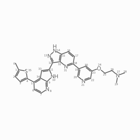 Cc1ccc(-c2ccnc3[nH]c(-c4n[nH]c5ccc(-c6cncc(OCCN(C)C)c6)nc45)cc23)s1